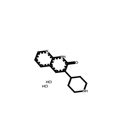 Cl.Cl.O=c1[nH]c2ncccc2cc1C1CCNCC1